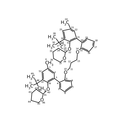 Cc1cc(-c2ccccc2OCCCOc2ccccc2-c2cc(C)cc(C(C)(C)C)c2OC2CCCCO2)c(OC2CCCCO2)c(C(C)(C)C)c1